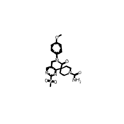 COc1ccc(N2Cc3cnc(S(C)(=O)=O)nc3C3(CCN(C(N)=O)CC3)C2=O)cc1